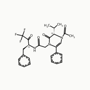 CC(=O)N1C=C(c2ccccc2)N(CC(=O)N[C@@H](Cc2ccccc2)C(=O)C(F)(F)F)C(=O)[C@@H]1C(C)C